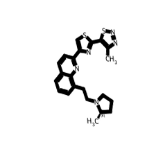 Cc1nnsc1-c1nc(-c2ccc3cccc(CCN4CCC[C@H]4C)c3n2)cs1